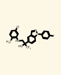 Cc1ccc(Cl)cc1NCC(O)(c1ccc2c(cnn2-c2ccc(F)cc2)c1)C(F)(F)F